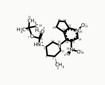 C[C@@H]1C[C@H](NC(=O)OC(C)(C)C)CN(c2c([N+](=O)[O-])c[n+]([O-])c3c2CCC3)C1